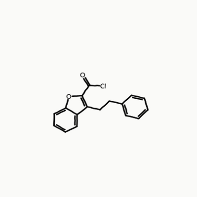 O=C(Cl)c1oc2ccccc2c1CCc1ccccc1